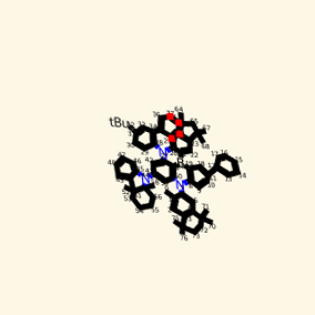 Cc1cc2c(cc1N1c3ccc(-c4ccccc4)cc3B3c4cc5c(cc4N(c4ccc(C(C)(C)C)cc4-c4ccccc4)c4cc(N6c7ccccc7C7(C)CCCCC67C)cc1c43)C(C)(C)CC5(C)C)C(C)(C)CCC2(C)C